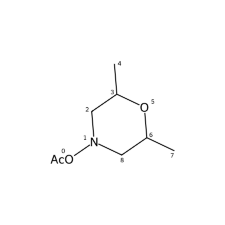 CC(=O)ON1CC(C)OC(C)C1